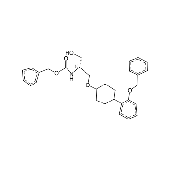 O=C(N[C@H](CO)COC1CCC(c2ccccc2OCc2ccccc2)CC1)OCc1ccccc1